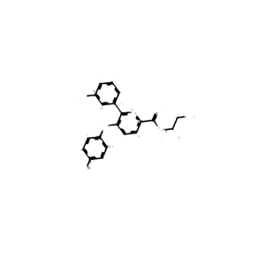 C[C@H](CO)NC(=O)c1ccc(Oc2ccc(C(F)(F)F)cc2)c(-c2cccc(F)c2)n1